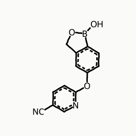 N#Cc1ccc(Oc2ccc3c(c2)COB3O)nc1